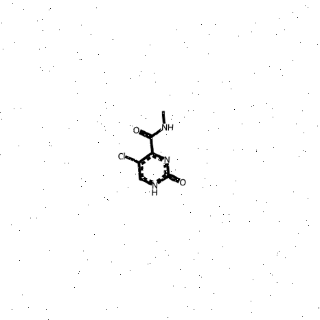 CNC(=O)c1nc(=O)[nH]cc1Cl